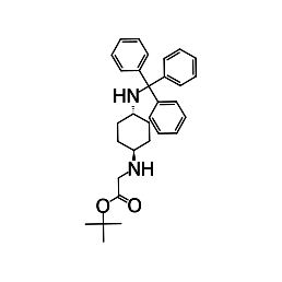 CC(C)(C)OC(=O)CN[C@H]1CC[C@H](NC(c2ccccc2)(c2ccccc2)c2ccccc2)CC1